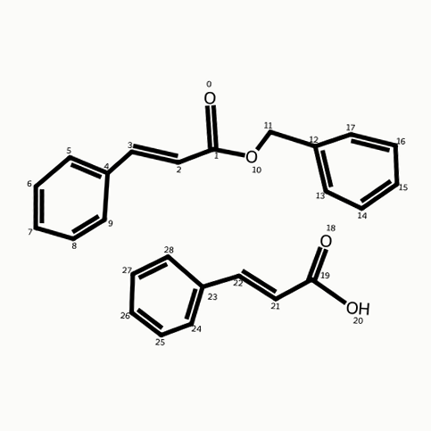 O=C(C=Cc1ccccc1)OCc1ccccc1.O=C(O)C=Cc1ccccc1